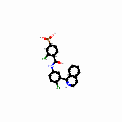 O=C(Nc1ccc(Cl)c(-c2nccc3ccccc23)c1)c1ccc([SH](=O)=O)cc1Cl